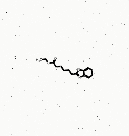 CCOC(=O)CCCCCc1nc2ccccc2[nH]1